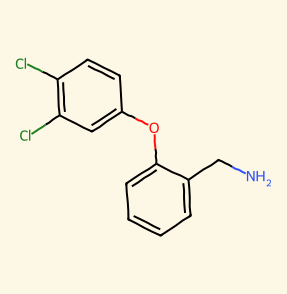 NCc1ccccc1Oc1ccc(Cl)c(Cl)c1